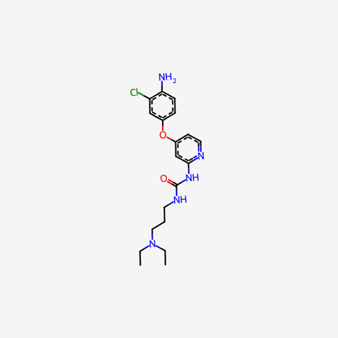 CCN(CC)CCCNC(=O)Nc1cc(Oc2ccc(N)c(Cl)c2)ccn1